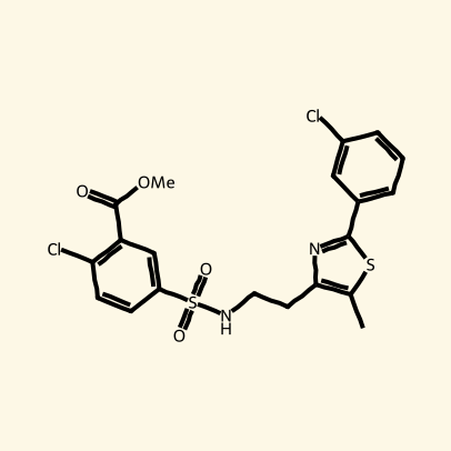 COC(=O)c1cc(S(=O)(=O)NCCc2nc(-c3cccc(Cl)c3)sc2C)ccc1Cl